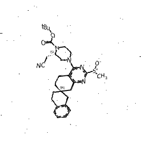 C[S+]([O-])c1nc2c(c(N3CCN(C(=O)OC(C)(C)C)[C@@H](CC#N)C3)n1)CC[C@@]1(CCc3ccccc3C1)C2